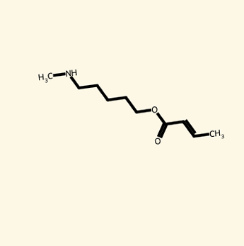 C/C=C/C(=O)OCCCCCNC